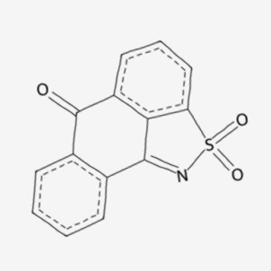 O=C1c2ccccc2C2=NS(=O)(=O)c3cccc1c32